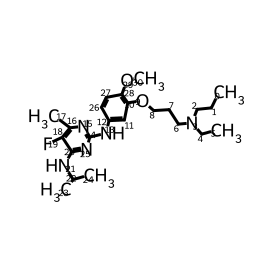 CCCN(CC)CCCOc1cc(Nc2nc(C)c(F)c(NC(C)C)n2)ccc1OC